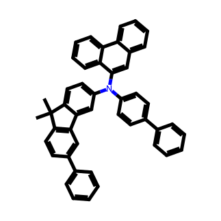 CC1(C)c2ccc(-c3ccccc3)cc2-c2cc(N(c3ccc(-c4ccccc4)cc3)c3cc4ccccc4c4ccccc34)ccc21